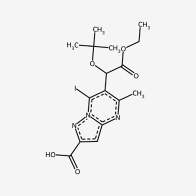 CCOC(=O)C(OC(C)(C)C)c1c(C)nc2cc(C(=O)O)nn2c1I